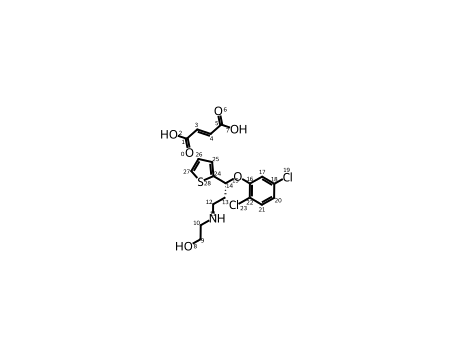 O=C(O)/C=C/C(=O)O.OCCNCC[C@@H](Oc1cc(Cl)ccc1Cl)c1cccs1